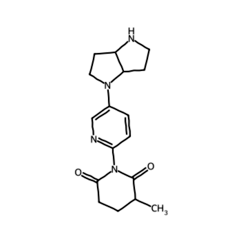 CC1CCC(=O)N(c2ccc(N3CCC4NCCC43)cn2)C1=O